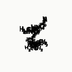 CNc1nc(Nc2cccc(C#N)c2)ncc1C#C[C@@H]1CCC[C@H](NC(=O)[C@H](C)N(C)C(=O)OC(C)(C)C)C1